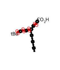 C#Cc1ccc(C#Cc2ccc(C#Cc3ccc(C#CC4(OC(=O)c5ccc(OC(=O)C6CCC(C(=O)OC(C)(C)C)CC6)cc5)CCC(c5ccc(OC(=O)C6CCC(C(=O)O)CC6)cc5)CC4)cc3)cc2)cc1